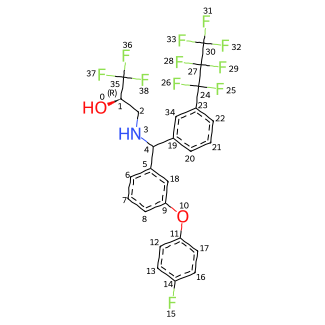 O[C@H](CNC(c1cccc(Oc2ccc(F)cc2)c1)c1cccc(C(F)(F)C(F)(F)C(F)(F)F)c1)C(F)(F)F